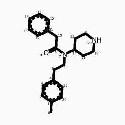 Cc1ccc(CCN(C(=O)Cc2ccccc2)C2CCNCC2)cc1